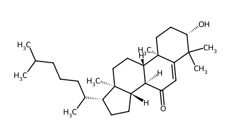 CC(C)CCCC(C)[C@H]1CC[C@H]2[C@@H]3C(=O)C=C4C(C)(C)[C@@H](O)CC[C@]4(C)[C@H]3CC[C@]12C